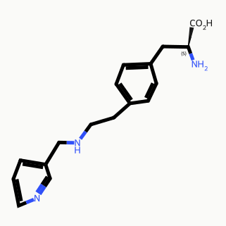 N[C@@H](Cc1ccc(CCNCc2cccnc2)cc1)C(=O)O